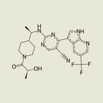 C[C@H](O)C(=O)N1CCC([C@@H](C)Nc2ncc(C#N)c(-c3c[nH]c4ncc(C(F)(F)F)cc34)n2)CC1